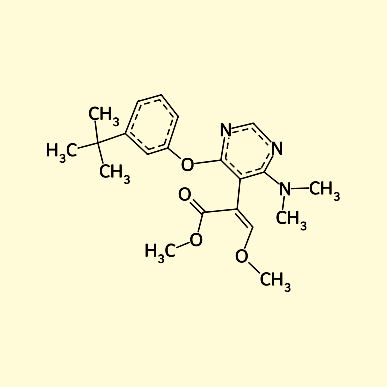 COC=C(C(=O)OC)c1c(Oc2cccc(C(C)(C)C)c2)ncnc1N(C)C